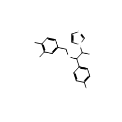 Fc1ccc(C(SCc2ccc(Cl)c(Cl)c2)C(F)n2ccnc2)cc1